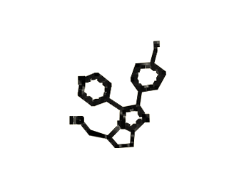 OC[C@@H]1CCc2nc(-c3ccc(F)cc3)c(-c3ccncc3)n21